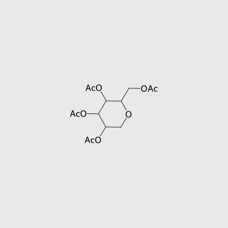 CC(=O)OCC1OCC(OC(C)=O)C(OC(C)=O)C1OC(C)=O